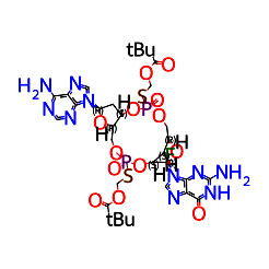 CC(C)(C)C(=O)OCSP1(=O)OC[C@H]2O[C@@H](n3cnc4c(N)ncnc43)C[C@@H]2OP(=O)(SCOC(=O)C(C)(C)C)OC[C@H]2O[C@@H](n3cnc4c(=O)[nH]c(N)nc43)[C@H](O1)[C@H]2F